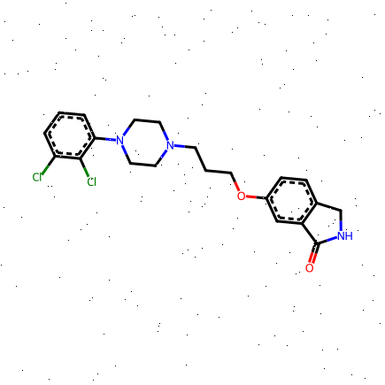 O=C1NCc2ccc(OCCCN3CCN(c4cccc(Cl)c4Cl)CC3)cc21